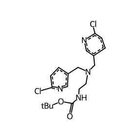 CC(C)(C)OC(=O)NCCN(Cc1ccc(Cl)nc1)Cc1ccc(Cl)nc1